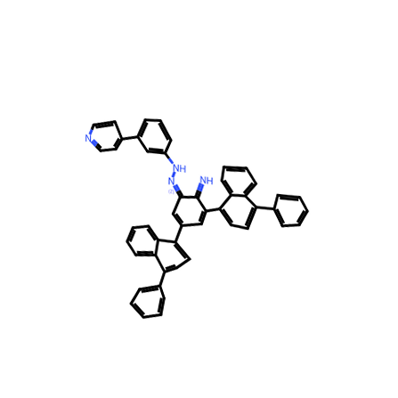 N=C1C(c2ccc(-c3ccccc3)c3ccccc23)=CC(c2ccc(-c3ccccc3)c3ccccc23)=C/C1=N/Nc1cccc(-c2ccncc2)c1